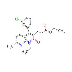 CCOC(=O)CCc1c(-c2cccc(Cl)c2)c2ccc(C)nc2n(CC)c1=O